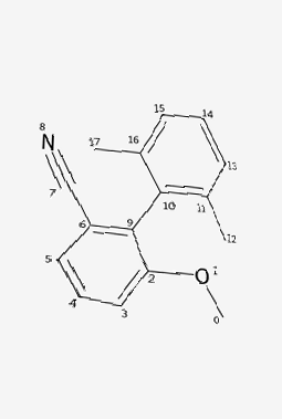 COc1cccc(C#N)c1-c1c(C)cccc1C